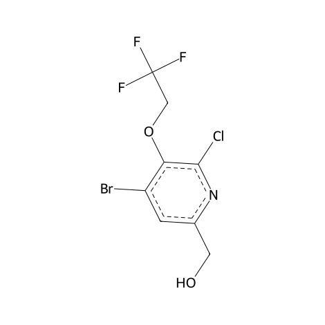 OCc1cc(Br)c(OCC(F)(F)F)c(Cl)n1